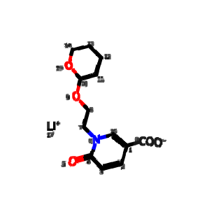 O=C([O-])c1ccc(=O)n(CCOC2CCCCO2)c1.[Li+]